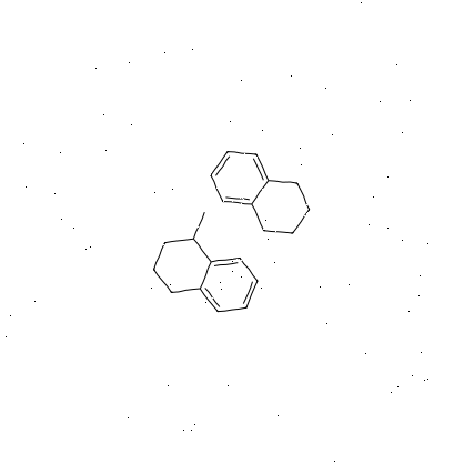 CC1CCCc2ccccc21.c1ccc2c(c1)CCCC2